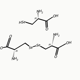 N[C@@H](C[SeH])C(=O)O.N[C@@H](C[Se][Se]C[C@H](N)C(=O)O)C(=O)O